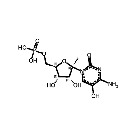 C[C@@]1(n2cc(O)c(N)nc2=O)O[C@H](COP(=O)(O)O)[C@@H](O)[C@H]1O